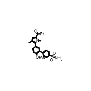 CCC(=O)c1cc(C)c(-c2ccc(OC)c(-c3ccc(S(N)(=O)=O)cc3)c2)n1C